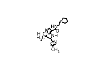 Cc1cnc(C2CC(C)(C)n3ncc(C(=O)NCCN4CCCC4)c3N2)s1